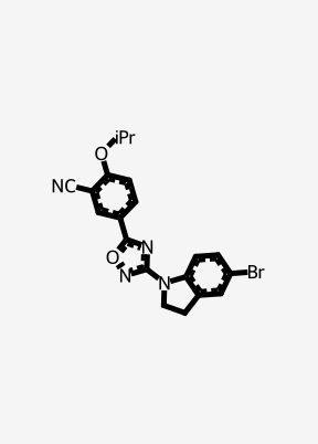 CC(C)Oc1ccc(-c2nc(N3CCc4cc(Br)ccc43)no2)cc1C#N